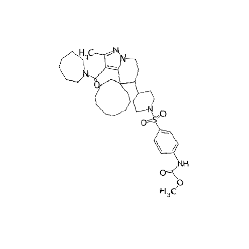 COC(=O)Nc1ccc(S(=O)(=O)N2CCC(C3CCn4nc(C)c(C(=O)N5CCCCCC5)c4C34CCCCCCCCC4)CC2)cc1